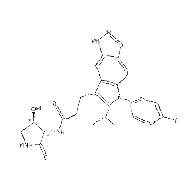 CC(C)c1c(CCC(=O)N[C@@H]2C(=O)NC[C@H]2O)c2cc3[nH]ncc3cc2n1-c1ccc(F)cc1